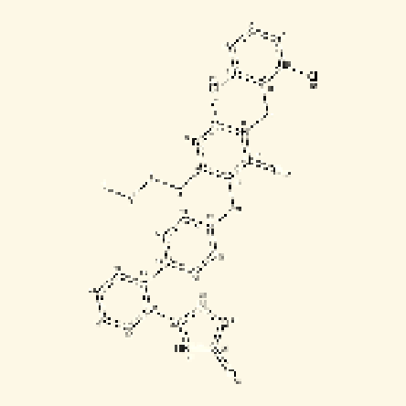 CCCCc1nc(C)n(Cc2c(Cl)cccc2Cl)c(=O)c1Cc1ccc(-c2ccccc2-c2noc(=O)[nH]2)cc1